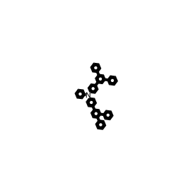 c1ccc(-c2cc(-c3ccccc3)cc(-c3ccc(N(c4ccccc4)c4ccc(-c5ccc(-c6ccccc6)c(-c6ccccc6)c5)cc4)cc3)c2)cc1